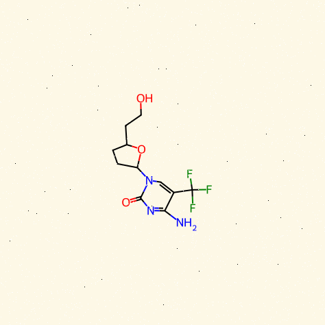 Nc1nc(=O)n(C2CCC(CCO)O2)cc1C(F)(F)F